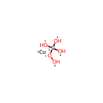 OO[Si](O)(O)O.[Cu]